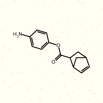 Nc1ccc(OC(=O)C2CC3C=CC2C3)cc1